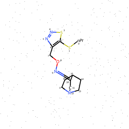 CCCSc1snnc1CON=C1CN2CCC1CC2